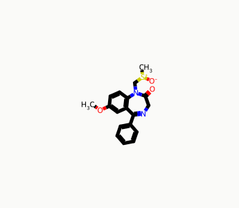 COc1ccc2c(c1)C(c1ccccc1)=NCC(=O)N2C[S+](C)[O-]